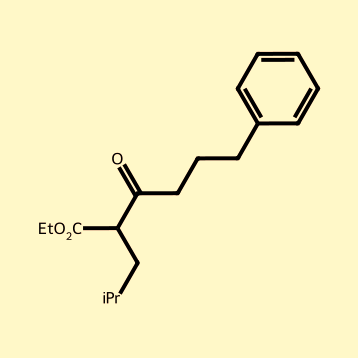 CCOC(=O)C(CC(C)C)C(=O)CCCc1ccccc1